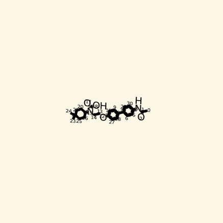 CC(=O)Nc1ccc(-c2ccc(OCCN(C(=O)O)C3CCC(C)(C)CC3)cc2)cc1